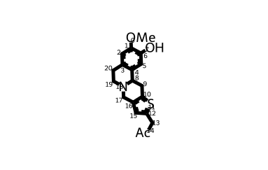 COc1cc2c(cc1O)C1Cc3sc(CC(C)=O)cc3CN1CC2